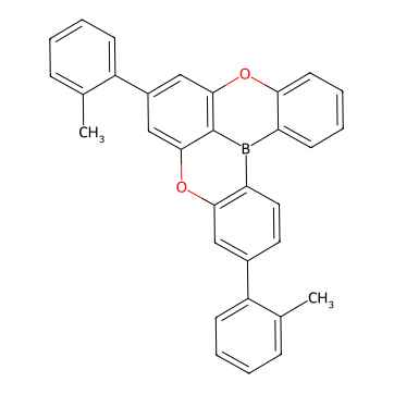 Cc1ccccc1-c1ccc2c(c1)Oc1cc(-c3ccccc3C)cc3c1B2c1ccccc1O3